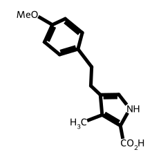 COc1ccc(CCc2c[nH]c(C(=O)O)c2C)cc1